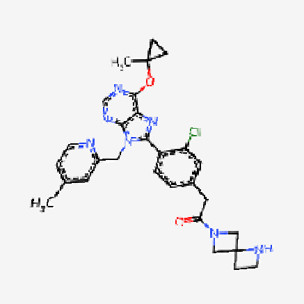 Cc1ccnc(Cn2c(-c3ccc(CC(=O)N4CC5(CCN5)C4)cc3Cl)nc3c(OC4(C)CC4)ncnc32)c1